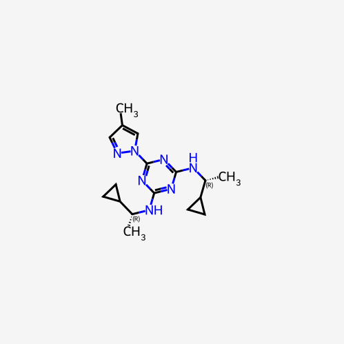 Cc1cnn(-c2nc(N[C@H](C)C3CC3)nc(N[C@H](C)C3CC3)n2)c1